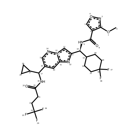 COc1nocc1C(=O)N[C@H](c1cn2ncc(C(NC(=O)CCC(F)(F)F)C3CC3)cc2n1)C1CCC(F)(F)CC1